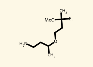 CCC(C)(CCOC(C)CCN)OC